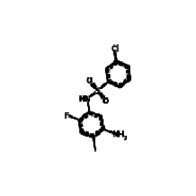 Cc1cc(F)c(NS(=O)(=O)c2cccc(Cl)c2)cc1N